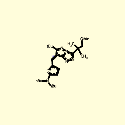 CCCCN(CCCC)c1ccc(/C=c2/c(C(C)(C)C)nn3c(C(C)(C)COC)nnc23)s1